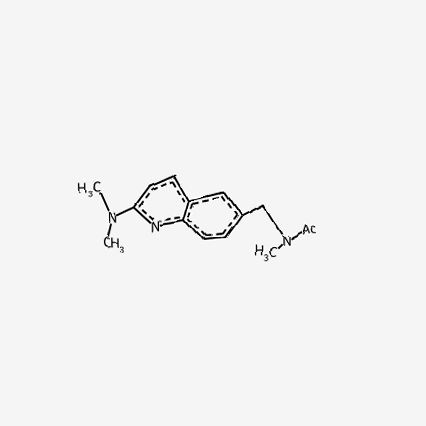 CC(=O)N(C)Cc1ccc2nc(N(C)C)ccc2c1